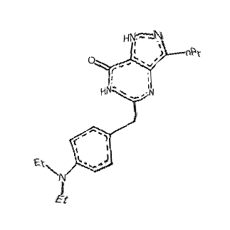 CCCc1n[nH]c2c(=O)[nH]c(Cc3ccc(N(CC)CC)cc3)nc12